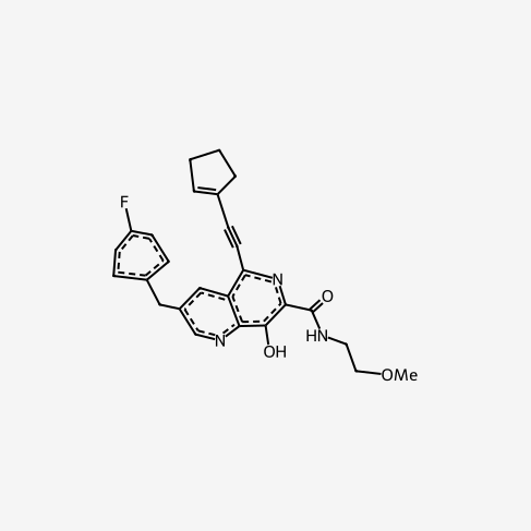 COCCNC(=O)c1nc(C#CC2=CCCC2)c2cc(Cc3ccc(F)cc3)cnc2c1O